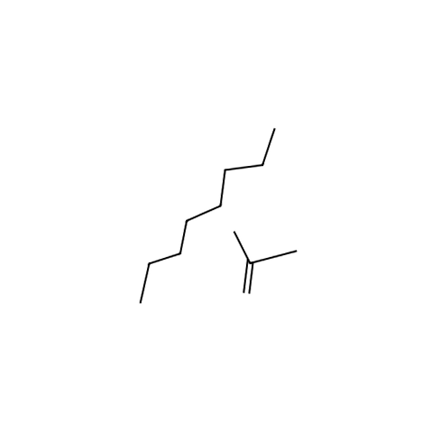 C=C(C)C.CCCCCCCC